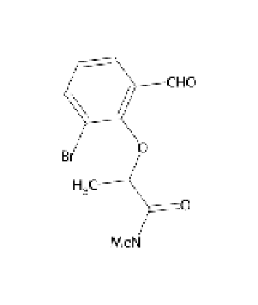 CNC(=O)C(C)Oc1c(Br)cccc1C=O